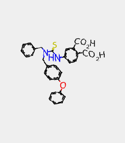 O=C(O)c1ccc(NC(=S)N(Cc2ccccc2)Cc2ccc(Oc3ccccc3)cc2)cc1C(=O)O